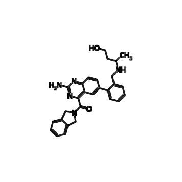 CC(CCO)NCc1ccccc1-c1ccc2nc(N)nc(C(=O)N3Cc4ccccc4C3)c2c1